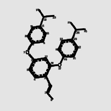 C/C=C/c1ccc(Oc2ccc(C(C)C)cc2)cc1Oc1ccc(C(C)C)cc1